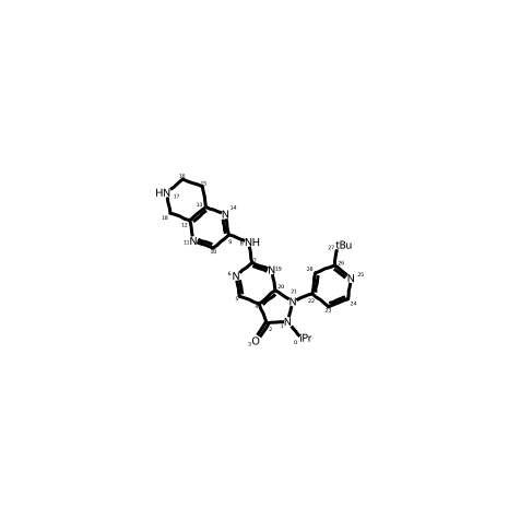 CC(C)n1c(=O)c2cnc(Nc3cnc4c(n3)CCNC4)nc2n1-c1ccnc(C(C)(C)C)c1